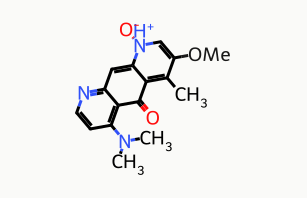 COC1=C[NH+]([O-])C2=Cc3nccc(N(C)C)c3C(=O)C2=C1C